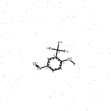 COc1ccc(N=O)cc1C(F)(F)F